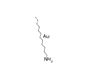 CCCCCCCCCCCCN.[Au]